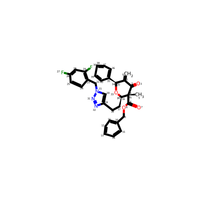 C=C1C(=O)[C@](C)(C(=O)OCc2ccccc2)[C@@H](CCc2cn(Cc3ccc(F)cc3F)nn2)O[C@H]1c1ccccc1